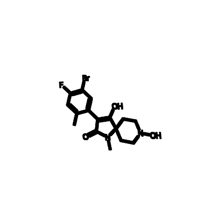 Cc1cc(F)c(Br)cc1C1=C(O)C2(CCN(O)CC2)N(C)C1=O